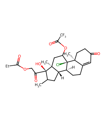 CCC(=O)OCC(=O)[C@@]1(O)C(C)C[C@H]2[C@@H]3CCC4=CC(=O)CC[C@]4(C)[C@@]3(Cl)C(OC(=O)C(F)(F)F)C[C@@]21C